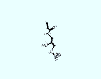 C=CC(=O)NCC(O)COCCCC